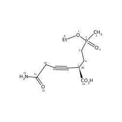 CCOP(C)(=O)CC[C@H](C#CCC(N)=O)C(=O)O